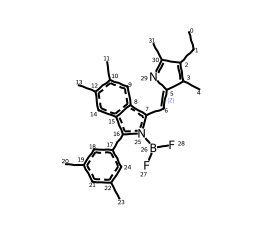 CCC1=C(C)/C(=C/c2c3cc(C)c(C)cc3c(-c3cc(C)cc(C)c3)n2B(F)F)N=C1C